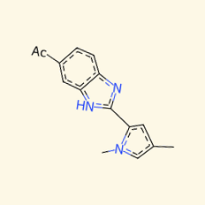 CC(=O)c1ccc2nc(-c3cc(C)cn3C)[nH]c2c1